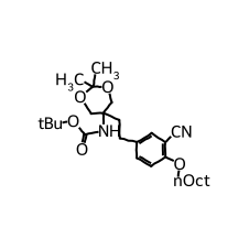 CCCCCCCCOc1ccc(CCC2(NC(=O)OC(C)(C)C)COC(C)(C)OC2)cc1C#N